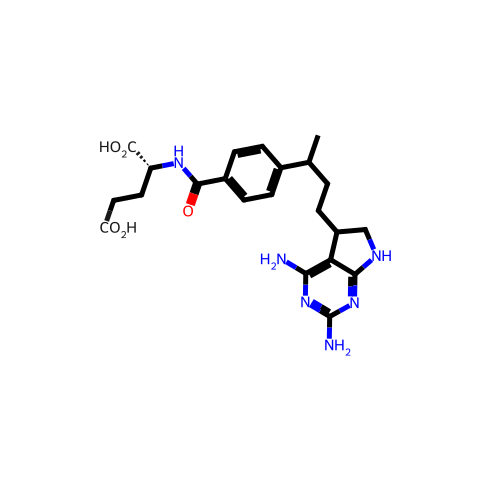 CC(CCC1CNc2nc(N)nc(N)c21)c1ccc(C(=O)N[C@H](CCC(=O)O)C(=O)O)cc1